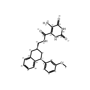 COc1cccc([C@@H]2C[C@H](CNC(=O)c3[nH]c(=O)[nH]c(=O)c3N)Cc3ccccc32)c1